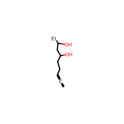 C=C=CCCC(O)CC(O)CC